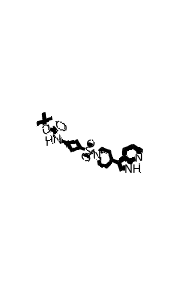 CC(C)(C)OC(=O)NC1CC(S(=O)(=O)N2CCC(c3c[nH]c4ncccc34)CC2)C1